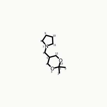 CC1(C)OCC(CN2CCCC2)CO1